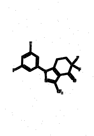 O=C1c2c(C(F)(F)F)nn(-c3cc(F)cc(F)c3)c2CCC1(F)F